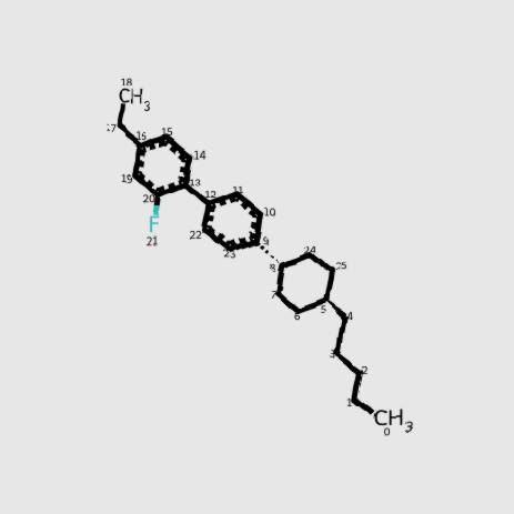 CCCCC[C@H]1CC[C@H](c2ccc(-c3ccc(CC)cc3F)cc2)CC1